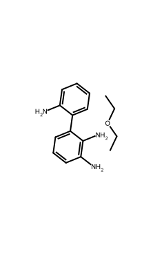 CCOCC.Nc1ccccc1-c1cccc(N)c1N